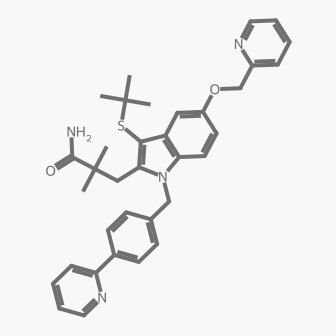 CC(C)(C)Sc1c(CC(C)(C)C(N)=O)n(Cc2ccc(-c3ccccn3)cc2)c2ccc(OCc3ccccn3)cc12